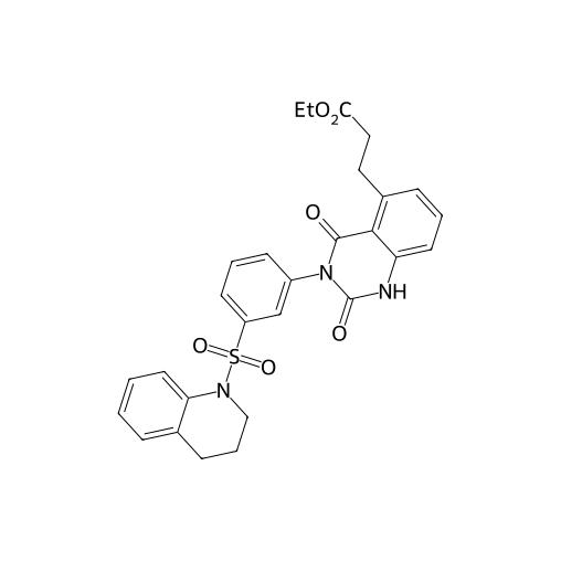 CCOC(=O)CCc1cccc2[nH]c(=O)n(-c3cccc(S(=O)(=O)N4CCCc5ccccc54)c3)c(=O)c12